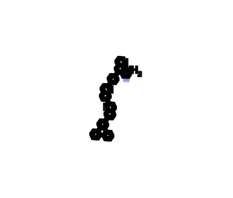 C/C=C\c1c(-c2ccc(-c3ccc4ccc(-c5ccc6ccc(-c7ccc8c9ccccc9c9ccccc9c8c7)cc6n5)cc4n3)cc2)cc2cccnc2c1N